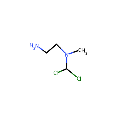 CN(CCN)C(Cl)Cl